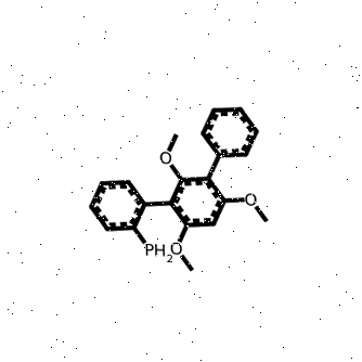 COc1cc(OC)c(-c2ccccc2P)c(OC)c1-c1ccccc1